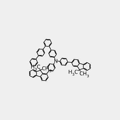 CC1(C)c2ccccc2-c2ccc(-c3ccc(N(c4ccc(-c5ccccc5-c5ccc(-c6ccccc6)cc5)cc4)c4ccc(-c5cccc6c5C(C)(C)c5ccccc5-6)cc4)cc3)cc21